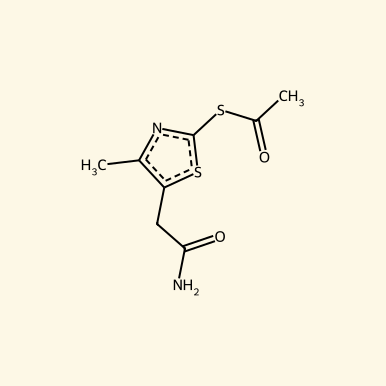 CC(=O)Sc1nc(C)c(CC(N)=O)s1